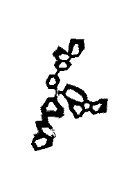 c1cc(-c2ccc3c(ccc4ccccc43)c2)cc(N(c2ccc(-c3cc4ccccc4s3)cc2)c2ccc3c4c(cccc24)-c2ccccc2-3)c1